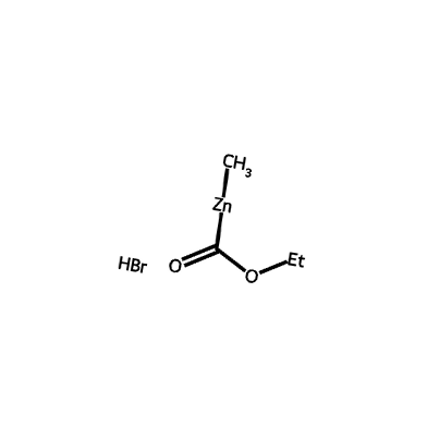 Br.CCO[C](=O)[Zn][CH3]